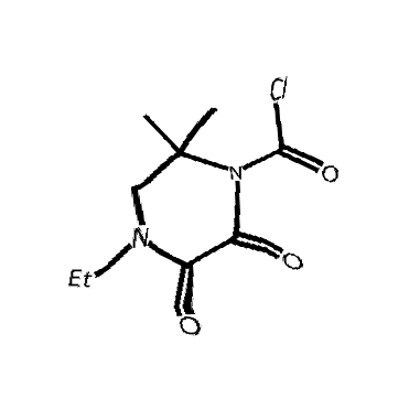 CCN1CC(C)(C)N(C(=O)Cl)C(=O)C1=O